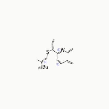 C=C=C(S/C=C(\C)[C@H](C)CC)C(/C=C\C=C)=N/C=C